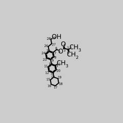 C=C(C)C(=O)OCc1cc(-c2ccc(C3CCCCC3)cc2C)ccc1CCCO